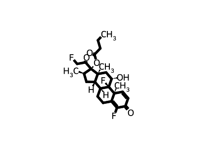 CCCC(=O)O[C@@]1(C(=O)CF)[C@H](C)C[C@H]2[C@@H]3CCC4=C(F)C(=O)C=C[C@]4(C)[C@@]3(F)[C@@H](O)C[C@@]21C